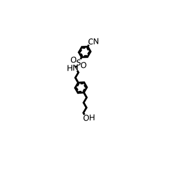 N#Cc1ccc(S(=O)(=O)NCCc2ccc(CCCCO)cc2)cc1